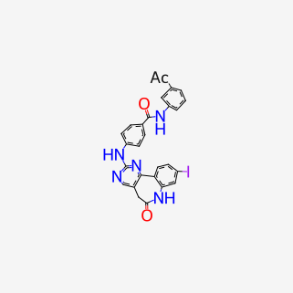 CC(=O)c1cccc(NC(=O)c2ccc(Nc3ncc4c(n3)-c3ccc(I)cc3NC(=O)C4)cc2)c1